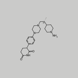 C[C@@H](CN1CCN(c2ccc(C3CCC(=O)NC3=O)cc2)CC1)C1CCN(N)CC1